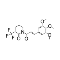 COc1cc(/C=C/C(=O)N2CCC=C(C(F)(F)F)C2=O)cc(OC)c1OC